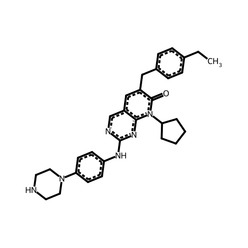 CCc1ccc(Cc2cc3cnc(Nc4ccc(N5CCNCC5)cc4)nc3n(C3CCCC3)c2=O)cc1